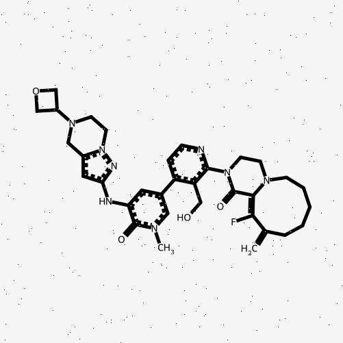 C=C1CCCCCN2CCN(c3nccc(-c4cc(Nc5cc6n(n5)CCN(C5COC5)C6)c(=O)n(C)c4)c3CO)C(=O)/C2=C/1F